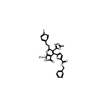 Cc1nnc(-c2c(CCc3ccc(F)cc3)nc3c(c2-c2ccc(C(=O)OCc4ccccc4)s2)C(=O)N[C@H]3C(C)C)o1